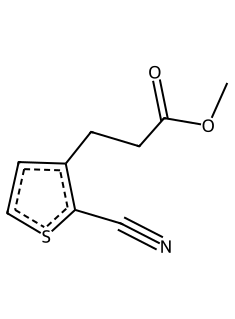 COC(=O)CCc1ccsc1C#N